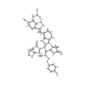 O=C1C2=C(NC(CCc3ccc(F)cc3)=C(c3n[nH]c(=O)o3)C2c2cc3ccnc(N[C@@H]4CCc5c4ccc(F)c5OC(F)F)c3s2)C23CC(CN12)C3